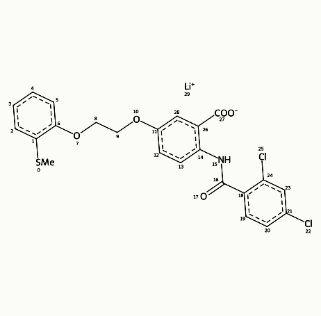 CSc1ccccc1OCCOc1ccc(NC(=O)c2ccc(Cl)cc2Cl)c(C(=O)[O-])c1.[Li+]